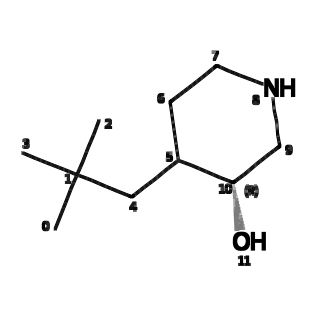 CC(C)(C)CC1CCNC[C@@H]1O